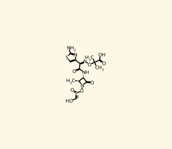 C[C@H]1[C@H](NC(=O)/C(=N\OC(C)(C)C(=O)O)c2csc(N)n2)C(=O)N1O[PH](=O)CO